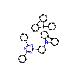 c1ccc(-c2nc(-c3ccccc3)nc(-c3cccc(-n4c5ccccc5c5cc(C6(c7ccccc7)c7ccccc7-c7ccccc76)ccc54)c3)n2)cc1